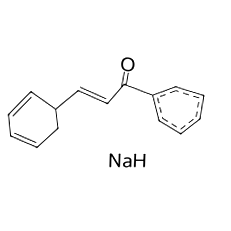 O=C(C=CC1C=CC=CC1)c1ccccc1.[NaH]